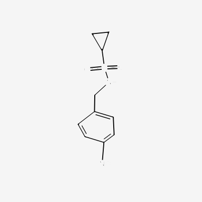 O=[N+]([O-])c1ccc(CNS(=O)(=O)C2CC2)cc1